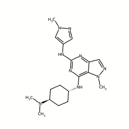 Cn1cc(Nc2nc(N[C@H]3CC[C@H](N(C)C)CC3)c3c(cnn3C)n2)cn1